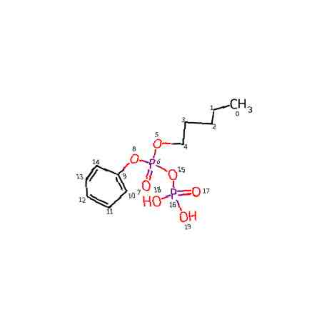 CCCCCOP(=O)(Oc1ccccc1)OP(=O)(O)O